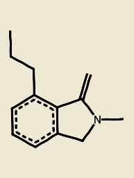 C=C1c2c(CCC)cccc2CN1C